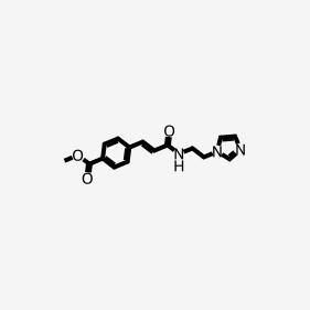 COC(=O)c1ccc(C=CC(=O)NCCn2ccnc2)cc1